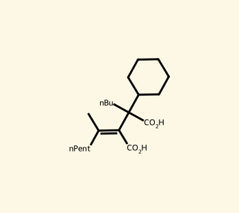 CCCCCC(C)=C(C(=O)O)C(CCCC)(C(=O)O)C1CCCCC1